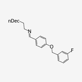 CCCCCCCCCCCC/N=C/c1ccc(OCc2cccc(F)c2)cc1